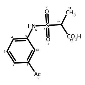 CC(=O)c1cccc(NS(=O)(=O)C(C)C(=O)O)c1